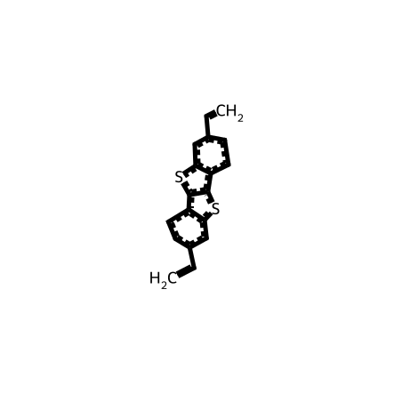 C=Cc1ccc2c(c1)sc1c3ccc(C=C)cc3sc21